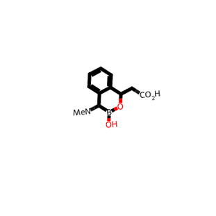 CNC1B(O)OC(CC(=O)O)c2ccccc21